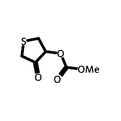 COC(=O)OC1CSCC1=O